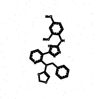 COc1ccc(Nc2nnc(-c3cccnc3N(Cc3ccccc3)C3=COCO3)[nH]2)c(OC)c1